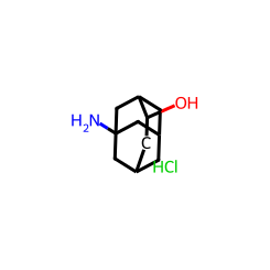 Cl.NC12CC3CC(CC(C1)C(O)C3)C2